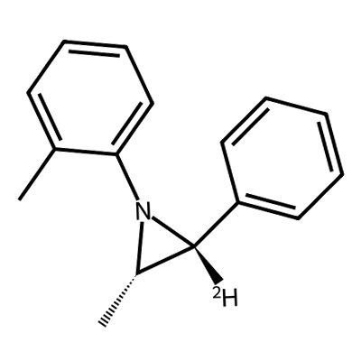 [2H][C@@]1(c2ccccc2)[C@H](C)N1c1ccccc1C